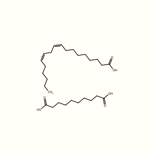 CCCCC/C=C\C/C=C\CCCCCCCC(=O)O.O=C(O)CCCCCCCCC(=O)O